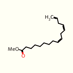 C=CC/C=C\C/C=C\CCCCCCCC(=O)OC